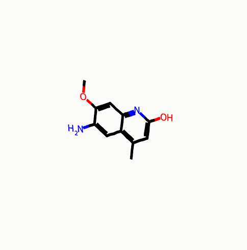 COc1cc2nc(O)cc(C)c2cc1N